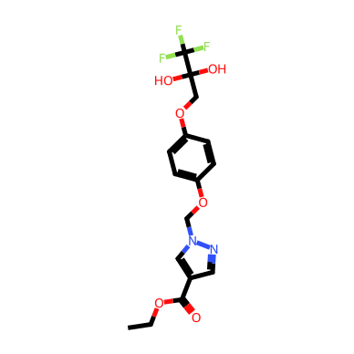 CCOC(=O)c1cnn(COc2ccc(OCC(O)(O)C(F)(F)F)cc2)c1